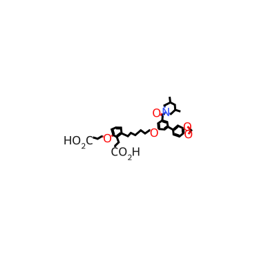 CC1CC(C)CN(C(=O)c2cc(OCCCCCCc3cccc(OCCCC(=O)O)c3CCC(=O)O)cc(-c3ccc4c(c3)OCO4)c2)C1